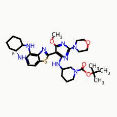 COc1nc(N2CCOCC2)nc(NC2CCCN(C(=O)OC(C)(C)C)C2)c1-c1nc2c(NC3CCCC[C@H]3N)cccc2s1